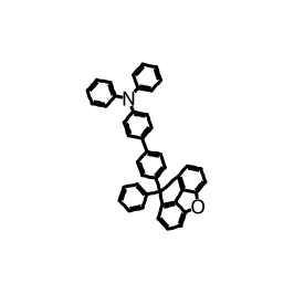 c1ccc(N(c2ccccc2)c2ccc(-c3ccc(C4(c5ccccc5)c5cccc6oc7cccc4c7c56)cc3)cc2)cc1